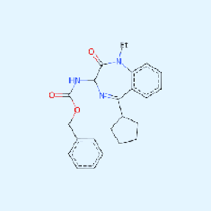 CCN1C(=O)C(NC(=O)OCc2ccccc2)N=C(C2CCCC2)c2ccccc21